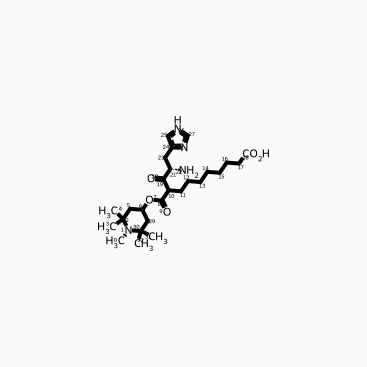 CN1C(C)(C)CC(OC(=O)C(CCCCCCCC(=O)O)C(=O)[C@@H](N)Cc2c[nH]cn2)CC1(C)C